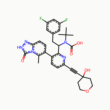 Cc1c(-c2ccc(C#CC3(O)CCOCC3)nc2C(Cc2cc(F)cc(F)c2)N(C(=O)O)C(C)(C)C)ccc2n[nH]c(=O)n12